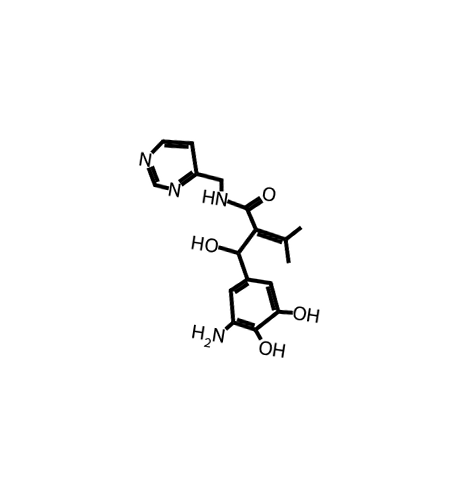 CC(C)=C(C(=O)NCc1ccncn1)C(O)c1cc(N)c(O)c(O)c1